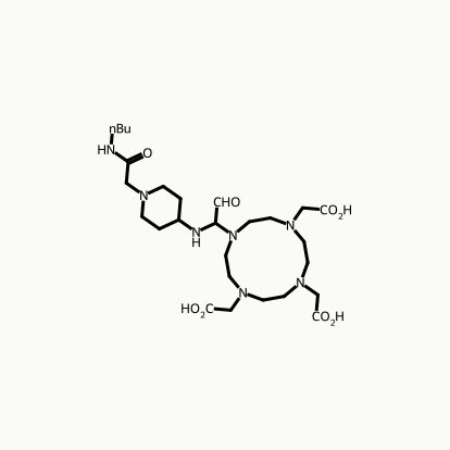 CCCCNC(=O)CN1CCC(NC(C=O)N2CCN(CC(=O)O)CCN(CC(=O)O)CCN(CC(=O)O)CC2)CC1